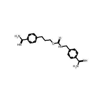 N=C(N)c1ccc(CCCOC(=O)NCc2ccc(C(=N)N)cc2)cc1